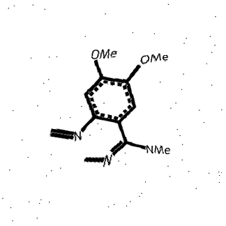 C=Nc1cc(OC)c(OC)cc1/C(=N\C)NC